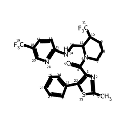 Cc1nc(C(=O)N2CCCC(C(F)(F)F)C2CNc2ccc(C(F)(F)F)cn2)c(-c2ccccc2)s1